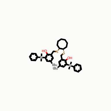 CC(C)(C)c1cc(CS[C@H]2CCCCCC[C@@H]2SCc2cc(C(C)(C)C)cc([Si](C)(C)c3ccccc3)c2O)c(O)c([Si](C)(C)c2ccccc2)c1